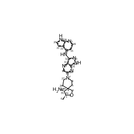 C[C@@H]1OCC2(CCN(c3cnc4c(Nc5ccnc6[nH]ccc56)n[nH]c4n3)CC2)[C@@H]1N